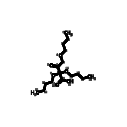 CCCCOCC(=O)C(OCCCC)(OCCCC)C(=O)O